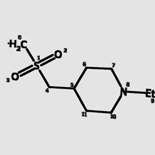 [CH2]S(=O)(=O)CC1CCN(CC)CC1